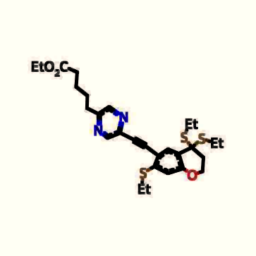 CCOC(=O)CCCCc1cnc(C#Cc2cc3c(cc2SCC)OCCC3(SCC)SCC)cn1